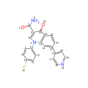 NC(=O)c1cn(-c2ccc(F)cc2)c2cc(-c3ccncc3)ccc2c1=O